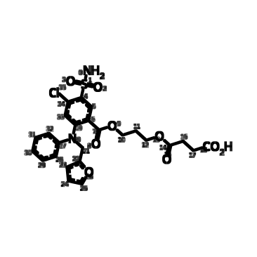 NS(=O)(=O)c1cc(C(=O)OCCCOC(=O)CCC(=O)O)c(N(Cc2ccco2)c2ccccc2)cc1Cl